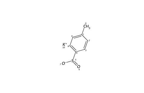 Cc1ccc(S(=O)[O-])cc1.[K+]